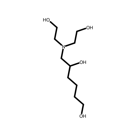 OCCCCC(O)CN(CCO)CCO